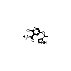 CC(Oc1cnc(Cl)c(C(N)=O)c1)[C@H]1CCN1